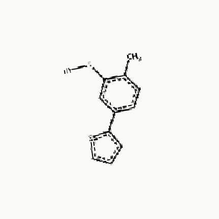 Cc1ccc(-c2cccs2)cc1SC(C)C